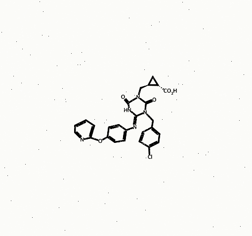 O=C(O)[C@H]1C[C@@H]1Cn1c(=O)[nH]/c(=N\c2ccc(Oc3ccccn3)cc2)n(Cc2ccc(Cl)cc2)c1=O